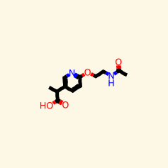 CC(=O)NCCOc1ccc(C(C)C(=O)O)cn1